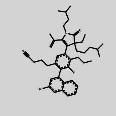 C=C(C)C1=C(c2cc(CCCC#N)c(-c3cc(O)cc4ccccc34)c(F)c2CCC)C(CC)(CCCC(C)C)C(=O)N1CCC(C)C